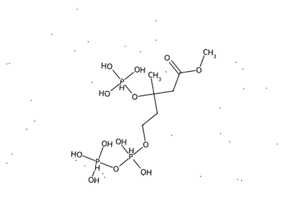 COC(=O)CC(C)(CCO[PH](O)(O)O[PH](O)(O)O)O[PH](O)(O)O